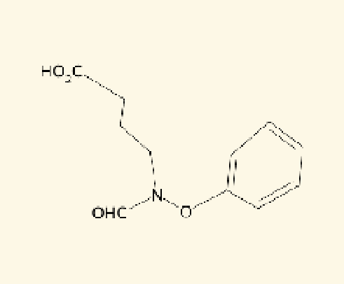 O=CN(CCCC(=O)O)Oc1ccccc1